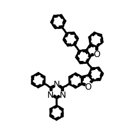 c1ccc(-c2ccc(-c3ccc(-c4cccc5oc6cc(-c7nc(-c8ccccc8)nc(-c8ccccc8)n7)ccc6c45)c4oc5ccccc5c34)cc2)cc1